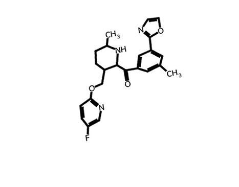 Cc1cc(C(=O)C2NC(C)CCC2COc2ccc(F)cn2)cc(-c2ncco2)c1